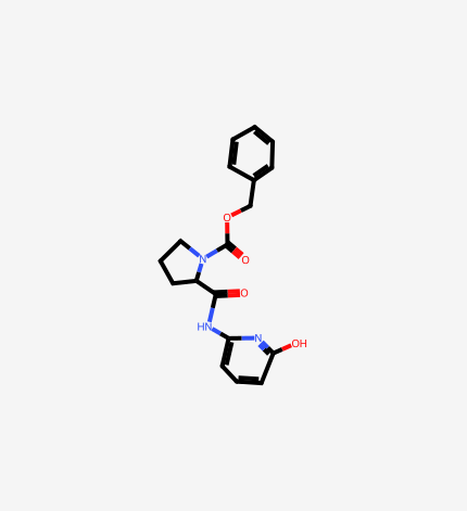 O=C(Nc1cccc(O)n1)C1CCCN1C(=O)OCc1ccccc1